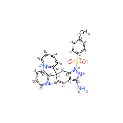 Cc1ccc(S(=O)(=O)n2nc(N)c3c2CC(c2ccccn2)(c2ccccn2)C=C3)cc1